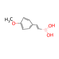 COc1ccc(C=CB(O)O)cc1